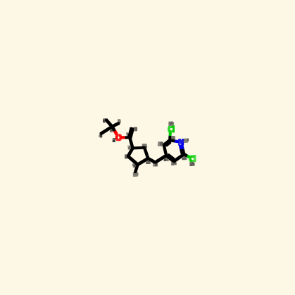 C=C(OC(C)(C)C)C1CC(C)C(Cc2cc(Cl)nc(Cl)c2)C1